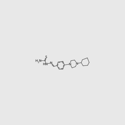 NC(=S)NN=Cc1ccc(N2CCN(C3CCCCC3)CC2)cc1